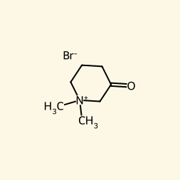 C[N+]1(C)CCCC(=O)C1.[Br-]